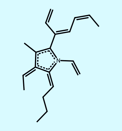 C=C/C(=C\C=C/C)c1c(C)c(=C/C)/c(=C\CCC)n1C=C